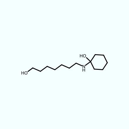 OCCCCCCCNC1(O)CCCCC1